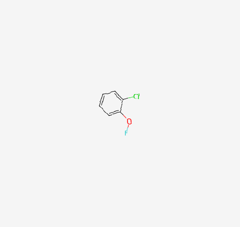 FOc1ccccc1Cl